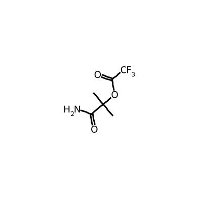 CC(C)(OC(=O)C(F)(F)F)C(N)=O